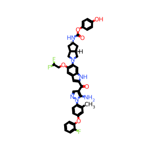 Cc1cc(Oc2ccccc2F)ccc1-n1ncc(C(=O)c2cc3cc(OCC(F)F)c(N4CC5C[C@@H](NC(=O)Oc6ccc(O)cc6)C[C@H]5C4)cc3[nH]2)c1N